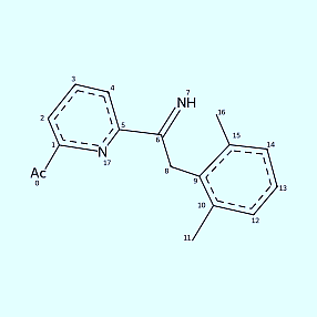 CC(=O)c1cccc(C(=N)Cc2c(C)cccc2C)n1